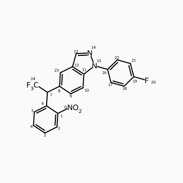 O=[N+]([O-])c1ccccc1C(c1ccc2c(cnn2-c2ccc(F)cc2)c1)C(F)(F)F